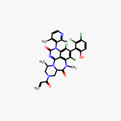 C=CC(=O)N1CC(C)N2c3nc(=O)n(-c4c(C)ccnc4C(C)C)c4c(Cl)c(-c5c(O)ccc(F)c5F)c(F)c(c34)N(C)C(=O)C2C1